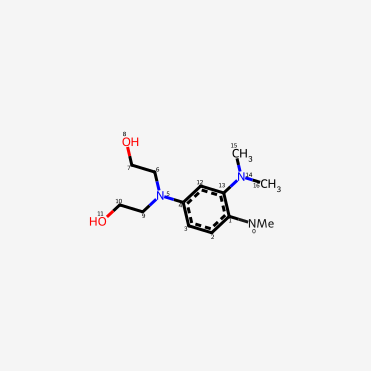 CNc1ccc(N(CCO)CCO)cc1N(C)C